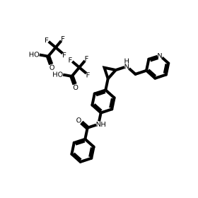 O=C(Nc1ccc(C2CC2NCc2cccnc2)cc1)c1ccccc1.O=C(O)C(F)(F)F.O=C(O)C(F)(F)F